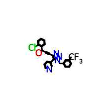 O=C(C#Cc1nnn(Cc2cccc(C(F)(F)F)c2)c1-c1cccnc1)c1ccccc1Cl